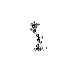 O=C(COc1cccc([C@](O)(C(=O)O)c2ccccc2)c1)N1CC[C@H](Nc2ccc(CCNC[C@H](O)c3ccc(O)c4[nH]c(=O)ccc34)cc2)C1